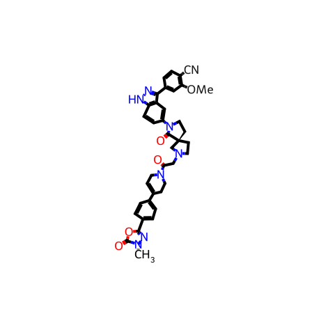 COc1cc(-c2n[nH]c3ccc(N4CC[C@]5(CCN(CC(=O)N6CC=C(c7ccc(-c8nn(C)c(=O)o8)cc7)CC6)C5)C4=O)cc23)ccc1C#N